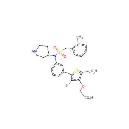 Cc1ccccc1CS(=O)(=O)N(c1cccc(-c2sc(C(=O)O)c(OCC(=O)O)c2Br)c1)C1CCNCC1